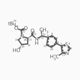 Cc1ncsc1-c1ccc([C@H](C)NC(=O)[C@H]2C[C@H](O)CN2C(=O)OC(C)(C)C)cc1